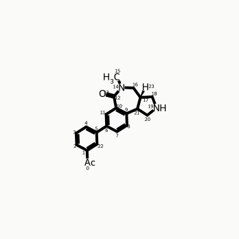 CC(=O)c1cccc(-c2ccc3c(c2)C(=O)N(C)C[C@@H]2CNCC32)c1